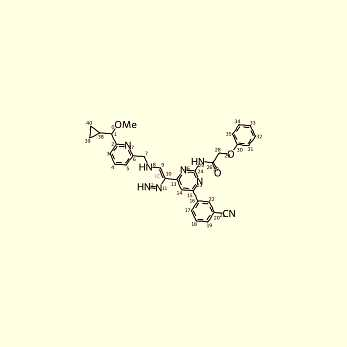 COC(c1cccc(CN/C=C(\N=N)c2cc(-c3cccc(C#N)c3)nc(NC(=O)COc3ccccc3)n2)n1)C1CC1